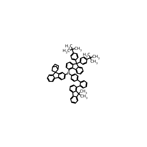 CC(C)(C)c1ccc(C2(c3ccc(C(C)(C)C)cc3)c3ccccc3-c3c(N(c4ccc(-c5ccccc5-c5cccc6c5C(C)(C)c5ccccc5-6)cc4)c4ccc5c(c4)C4(CC6CCC4C6)c4ccccc4-5)cccc32)cc1